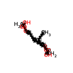 C=C(CO)C(=O)OCCOc1ccc(CCCCC2CCC(c3ccc(-c4ccc(OCCOC(=O)C(=C)CO)cc4)cc3CCCCCCC)CC2)cc1